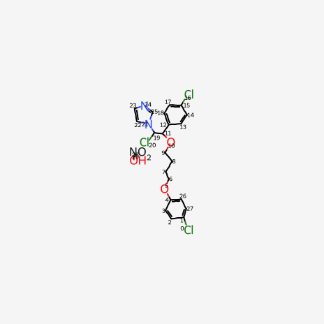 Clc1ccc(OCCCCOC(c2ccc(Cl)cc2)C(Cl)n2ccnc2)cc1.O=[N+]([O-])O